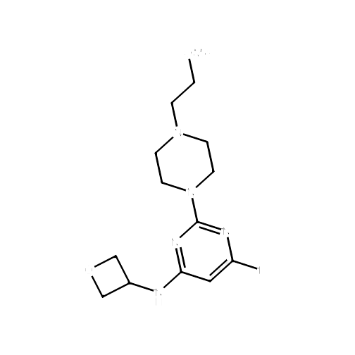 CCc1cc(NC2COC2)nc(N2CCN(CCOC)CC2)n1